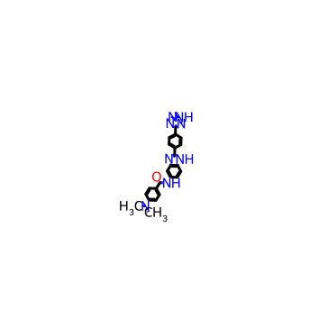 CN(C)c1ccc(C(=O)Nc2ccc3[nH]c(-c4ccc(-c5nn[nH]n5)cc4)nc3c2)cc1